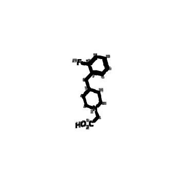 O=C(O)CN1CCC(Cc2ccccc2F)CC1